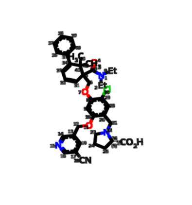 CCN(CC)C(=O)C1(COc2cc(OCc3cncc(C#N)c3)c(CN3CCC[C@H]3C(=O)O)cc2Cl)C=CC=C(c2ccccc2)C1(C)C